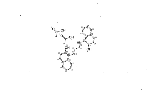 CC(=O)O.CC(=O)O.Oc1ccc2ccccc2c1NCCNc1c(O)ccc2ccccc12